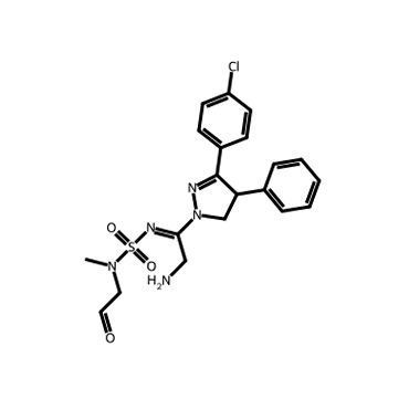 CN(CC=O)S(=O)(=O)/N=C(\CN)N1CC(c2ccccc2)C(c2ccc(Cl)cc2)=N1